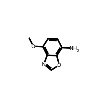 COc1ccc(N)c2ocnc12